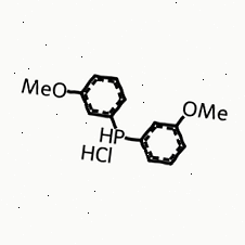 COc1cccc(Pc2cccc(OC)c2)c1.Cl